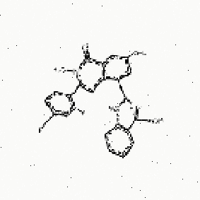 Cc1cc(C(C)Nc2ccccc2C(=O)O)c2cc(-c3ccc(F)cc3F)n(C)c(=O)c2c1